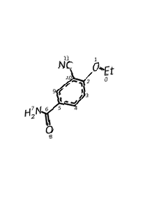 CCOc1ccc(C(N)=O)cc1C#N